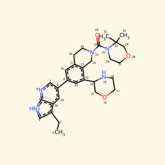 CCc1c[nH]c2ncc(-c3cc4c(c(C5COCCN5)c3)CN(C(=O)N3CCOCC3(C)C)CC4)cc12